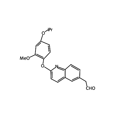 COc1cc(OC(C)C)ccc1Oc1ccc2cc(CC=O)ccc2n1